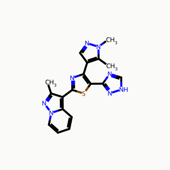 Cc1nn2ccccc2c1-c1nc(-c2cnn(C)c2C)c(-c2nc[nH]n2)s1